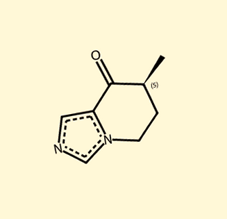 C[C@H]1CCn2cncc2C1=O